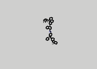 C(=C\c1ccc(-c2cc3ccc4cccc5c4c3c(c2)n5-c2cccnc2)c2ccccc12)/c1ccc(N(c2ccccc2)c2ccc3c(c2)sc2ccccc23)cc1